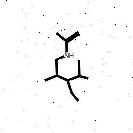 C=C(C)NCC(C)C(CC)C(C)C